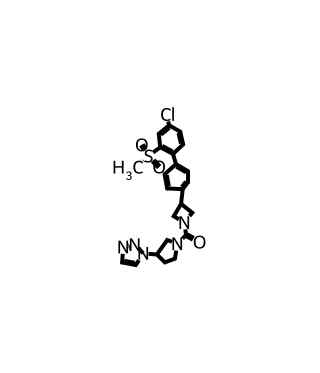 CS(=O)(=O)c1cc(Cl)ccc1-c1ccc(C2CN(C(=O)N3CCC(n4ccnn4)C3)C2)cc1